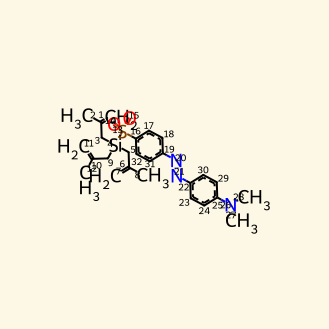 C=C(C)C[Si](CC(=C)C)(CC(=C)C)S(=O)(=O)c1ccc(N=Nc2ccc(N(C)C)cc2)cc1